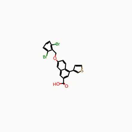 O=C(O)c1cc(-c2ccsc2)c2ccc(OCc3c(Br)cccc3Br)cc2c1